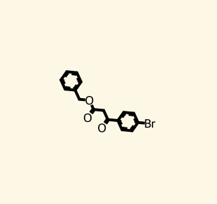 O=C(CC(=O)c1ccc(Br)cc1)OCc1ccccc1